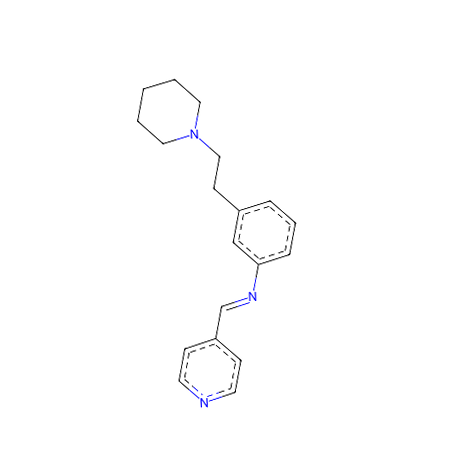 C(=Nc1cccc(CCN2CCCCC2)c1)c1ccncc1